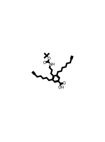 C#CCCCCCCc1cc(C(=O)O)cc(CCCCCC#C)c1CCCNC(=O)OC(C)(C)C